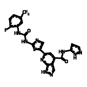 O=C(Nc1ncc(-c2cc(C(=O)Nc3ccn[nH]3)c3cn[nH]c3n2)s1)Nc1cc(C(F)(F)F)ccc1F